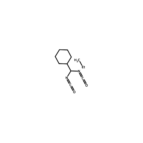 CCC.O=C=NC(N=C=O)C1CCCCC1